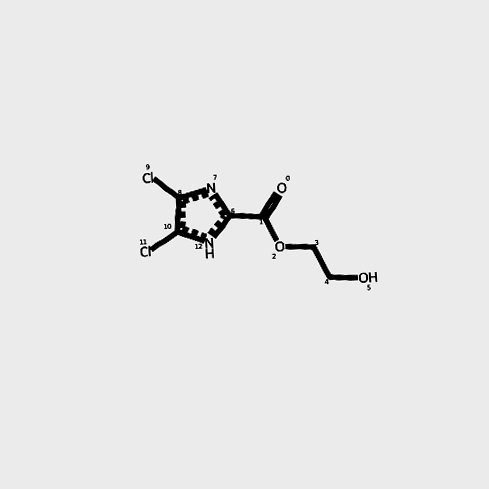 O=C(OCCO)c1nc(Cl)c(Cl)[nH]1